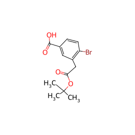 CC(C)(C)OC(=O)Cc1cc(C(=O)O)ccc1Br